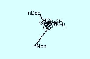 CCCCCCCCCC=CC=CC=CC=CC=CC=CC(=O)OC(COC(=O)CCCCCCCCCCCCCCC)COP(=O)(O)OCC[N+](C)(C)C